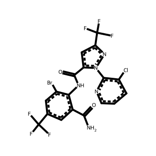 NC(=O)c1cc(C(F)(F)F)cc(Br)c1NC(=O)c1cc(C(F)(F)F)nn1-c1ncccc1Cl